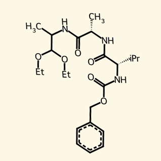 CCOC(OCC)C(C)NC(=O)[C@H](C)NC(=O)[C@@H](NC(=O)OCc1ccccc1)C(C)C